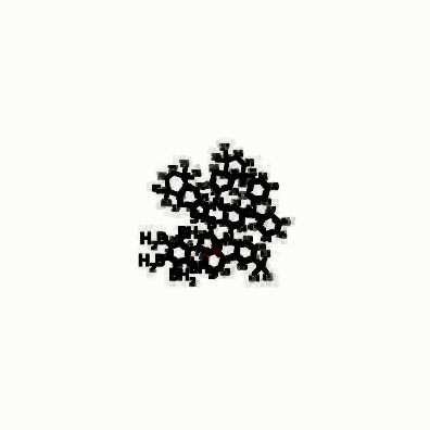 Bc1c(B)c(B)c(-c2ccc3c(c2)B2c4sc5cc6c(cc5c4N(c4ccc5c(c4)C(C)(C)CCC5(C)C)c4cc(N(c5ccccc5)c5ccccc5)cc(c42)N3c2ccc(C(C)(C)C)cc2-c2ccccc2)C(C)(C)CCC6(C)C)c(B)c1B